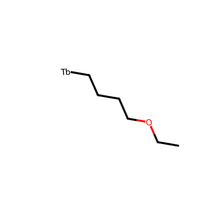 CCOCCC[CH2][Tb]